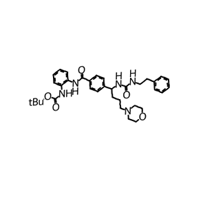 CC(C)(C)OC(=O)Nc1ccccc1NC(=O)c1ccc(C(CCCN2CCOCC2)NC(=O)NCCc2ccccc2)cc1